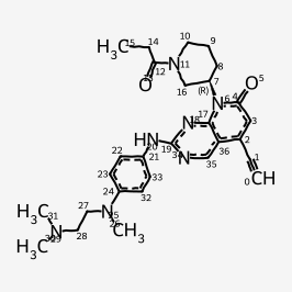 C#Cc1cc(=O)n([C@@H]2CCCN(C(=O)CC)C2)c2nc(Nc3ccc(N(C)CCN(C)C)cc3)ncc12